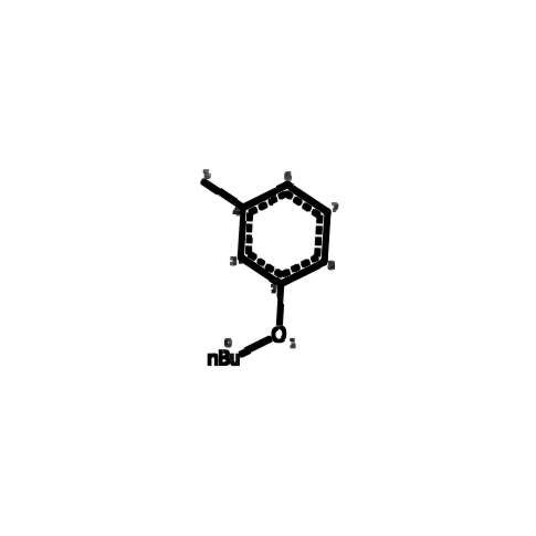 CCCCOc1[c]c(C)ccc1